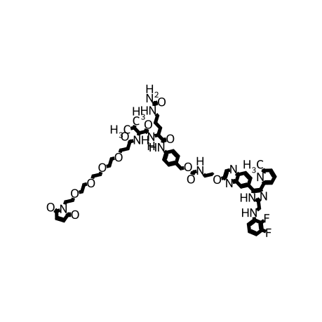 Cc1cccc(-c2nc(CNc3cccc(F)c3F)[nH]c2-c2ccc3ncc(OCCNC(=O)OCc4ccc(NC(=O)C(CCCNC(N)=O)NC(=O)C(NC(=O)CCOCCOCCOCCOCCN5C(=O)C=CC5=O)C(C)C)cc4)nc3c2)n1